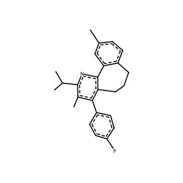 Cc1ccc2c(c1)-c1nc(C(C)C)c(C)c(-c3ccc(F)cc3)c1CCC2